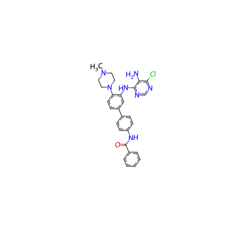 CN1CCN(c2ccc(-c3ccc(NC(=O)c4ccccc4)cc3)cc2Nc2ncnc(Cl)c2N)CC1